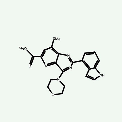 COC(=O)c1cc(SC)c2nc(-c3cccc4[nH]ccc34)nc(N3CCOCC3)c2n1